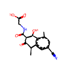 Cc1cc(C#N)cc2c1C(O)=C(C(=O)NCC(=O)O)C(=O)C2C